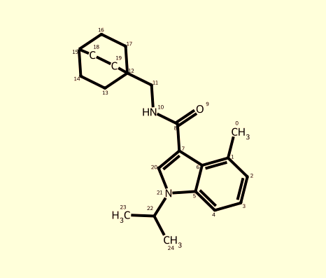 Cc1cccc2c1c(C(=O)NCC13CCC(CC1)CC3)cn2C(C)C